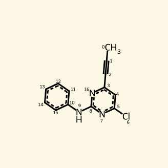 CC#Cc1cc(Cl)nc(Nc2ccccc2)n1